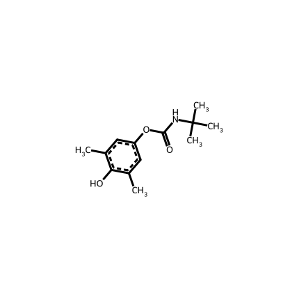 Cc1cc(OC(=O)NC(C)(C)C)cc(C)c1O